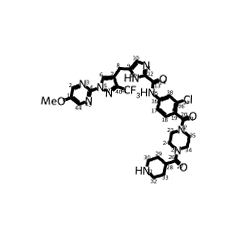 COc1cnc(-n2cc(Cc3cnc(C(=O)Nc4ccc(C(=O)N5CCN(C(=O)C6CCNCC6)CC5)c(Cl)c4)[nH]3)c(C(F)(F)F)n2)nc1